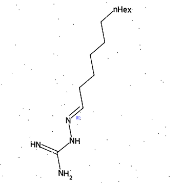 CCCCCCCCCCC/C=N/NC(=N)N